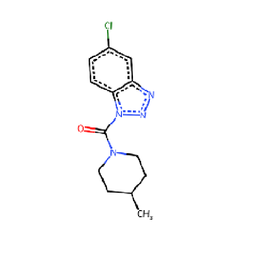 CC1CCN(C(=O)n2nnc3cc(Cl)ccc32)CC1